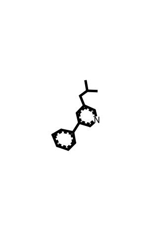 CC(C)Cc1cncc(-c2ccccc2)c1